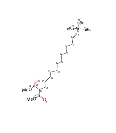 CCC[CH2][Sn]([CH]=CCCCCCCCCCCCC(C(=O)OC)C(=O)OC)([CH2]CCC)[CH2]CCC